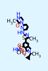 CNS(=O)(=O)c1cc(-c2sc(Nc3cccc(N4CCN[C@@H](C)C4=O)n3)nc2C)cc2c1C(=O)N([C@@H](C)C1CC1)C2